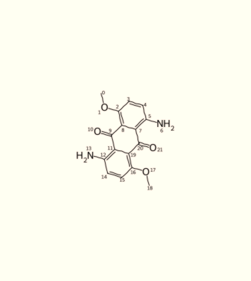 COc1ccc(N)c2c1C(=O)c1c(N)ccc(OC)c1C2=O